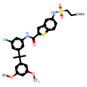 COCCS(=O)(=O)Nc1ccc2sc(C(=O)Nc3cc(Cl)cc(C(C)(C)c4cc(OC(C)C)cc(OC(F)(F)F)c4)c3)cc2c1